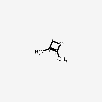 CC1=C(N)CS1